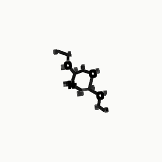 CCOC1COC(OCC)C[N]1